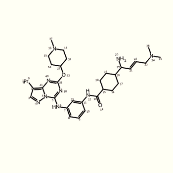 CC(C)c1cnn2c(Nc3cccc(NC(=O)C4CCC(C(N)C=CCN(C)C)CC4)c3)nc(OC3CCN(C)CC3)nc12